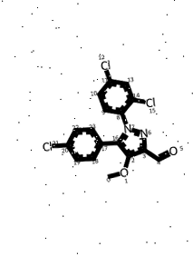 COc1c(C=O)nn(-c2ccc(Cl)cc2Cl)c1-c1ccc(Cl)cc1